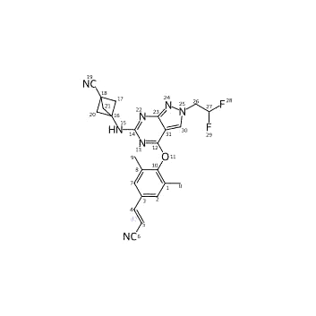 Cc1cc(/C=C/C#N)cc(C)c1Oc1nc(NC23CC(C#N)(C2)C3)nc2nn(CC(F)F)cc12